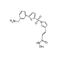 NCc1cccc(-c2ccc(S(=O)(=O)n3ccc(C=CC(=O)NO)c3)s2)c1